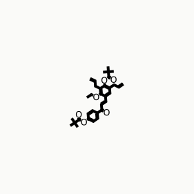 C=CCc1cc(/C=C/C(=O)c2ccc(OC(=O)C(C)(C)C)cc2)c(OCC)c(CC=C)c1OC(=O)C(C)(C)C